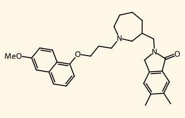 COc1ccc2c(OCCCN3CCCCC(CN4Cc5cc(C)c(C)cc5C4=O)C3)cccc2c1